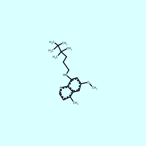 COc1cc(NCCCC(C)(C)C(C)(C)C)c2nccc(C)c2c1